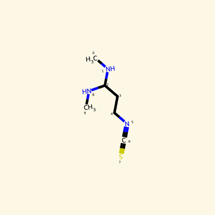 CNC(CCN=C=S)NC